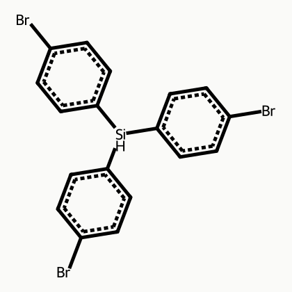 Brc1ccc([SiH](c2ccc(Br)cc2)c2ccc(Br)cc2)cc1